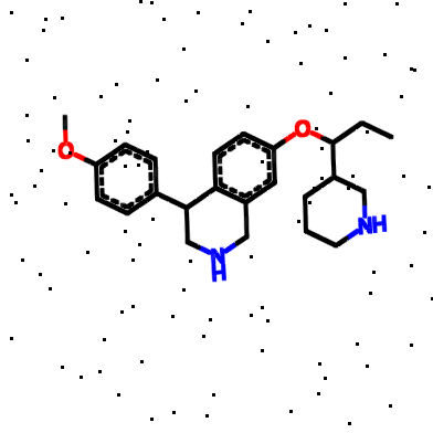 CCC(Oc1ccc2c(c1)CNCC2c1ccc(OC)cc1)C1CCCNC1